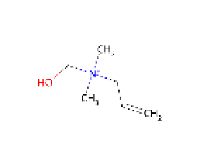 C=CC[N+](C)(C)CO